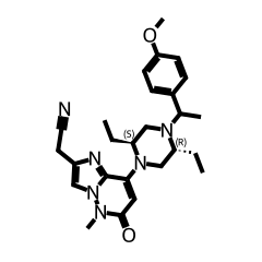 CC[C@H]1CN(C(C)c2ccc(OC)cc2)[C@H](CC)CN1c1cc(=O)n(C)n2cc(CC#N)nc12